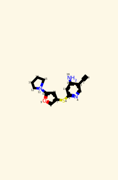 C#Cc1cnc(Sc2coc(N3CCCC3)c2)cc1N